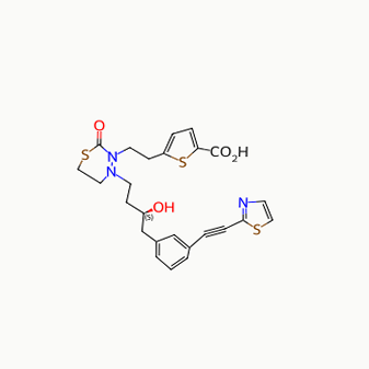 O=C(O)c1ccc(CCN2C(=O)SCCN2CC[C@@H](O)Cc2cccc(C#Cc3nccs3)c2)s1